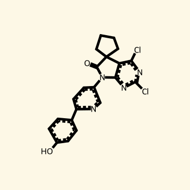 O=C1N(c2ccc(-c3ccc(O)cc3)nc2)c2nc(Cl)nc(Cl)c2C12CCCC2